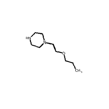 CCCOCCN1CCNCC1